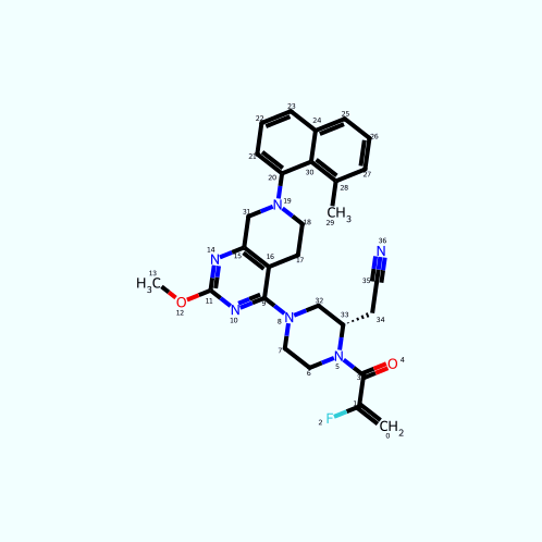 C=C(F)C(=O)N1CCN(c2nc(OC)nc3c2CCN(c2cccc4cccc(C)c24)C3)C[C@@H]1CC#N